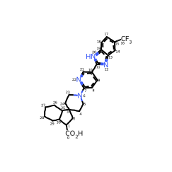 O=C(O)C1CC2(CCN(c3ccc(-c4nc5cc(C(F)(F)F)ccc5[nH]4)cn3)CC2)C2CCCCC12